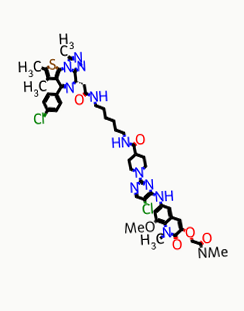 CNC(=O)COc1cc2cc(Nc3nc(N4CCC(C(=O)NCCCCCCNC(=O)C[C@@H]5N=C(c6ccc(Cl)cc6)c6c(sc(C)c6C)-n6c(C)nnc65)CC4)ncc3Cl)cc(OC)c2n(C)c1=O